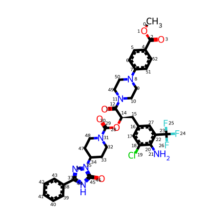 COC(=O)c1ccc(N2CCN(C(=O)[C@@H](Cc3cc(Cl)c(N)c(C(F)(F)F)c3)OC(=O)N3CCC(n4nc(-c5ccccc5)[nH]c4=O)CC3)CC2)cc1